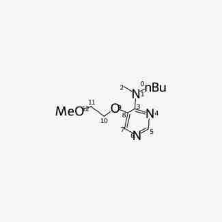 CCCCN(C)c1ncncc1OCCOC